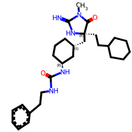 CN1C(=N)N[C@](CCC2CCCCC2)(C[C@H]2CCC[C@@H](NC(=O)NCCc3ccccc3)C2)C1=O